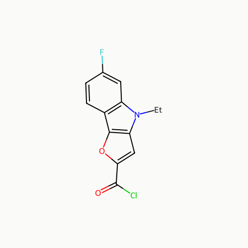 CCn1c2cc(F)ccc2c2oc(C(=O)Cl)cc21